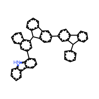 c1ccc(C2c3ccccc3-c3ccc(-c4ccc5c(c4)-c4ccccc4C5c4cc(-c5cccc6c5[nH]c5ccccc56)cc5ccccc45)cc32)cc1